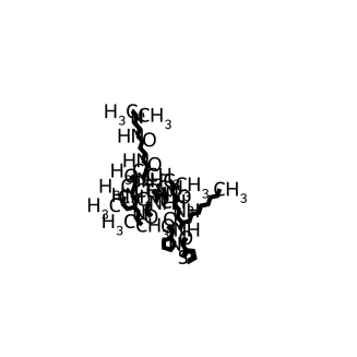 CCCCCCCCC(NC(=O)C1CCCN1C(=O)c1cccs1)C(=O)NCC(=O)N(C(C)C)C(C)(C)C(=O)NCC(=O)N(C(C)C)C(CC(C)C)C(=O)NC(C)(C)C(=O)NC(C)(C)C(=O)NCCC(=O)NCCN(C)C